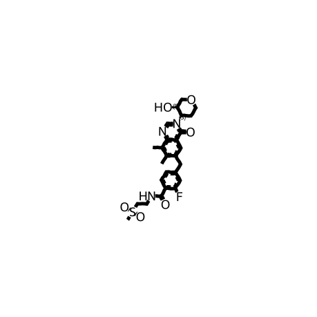 Cc1c(Cc2ccc(C(=O)NCCS(C)(=O)=O)c(F)c2)cc2c(=O)n([C@H]3CCOC[C@@H]3O)cnc2c1C